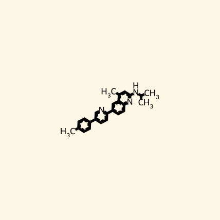 Cc1ccc(-c2ccc(-c3ccc4nc(NC(C)C)cc(C)c4c3)nc2)cc1